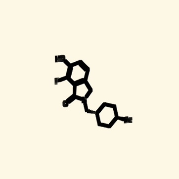 CC(=O)[C@H]1CC[C@H](CN2Cc3ccc(O)c(F)c3C2=O)CC1